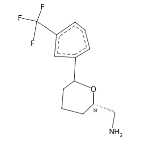 NC[C@@H]1CCCC(c2cccc(C(F)(F)F)c2)O1